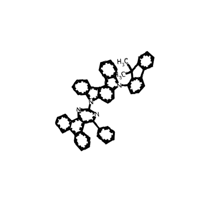 CC1(C)c2ccccc2-c2cccc(-n3c4ccccc4c4c5c6ccccc6n(-c6nc(-c7ccccc7)c7c8ccccc8c8ccccc8c7n6)c5ccc43)c21